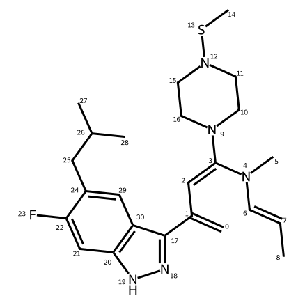 C=C(/C=C(\N(C)/C=C/C)N1CCN(SC)CC1)c1n[nH]c2cc(F)c(CC(C)C)cc12